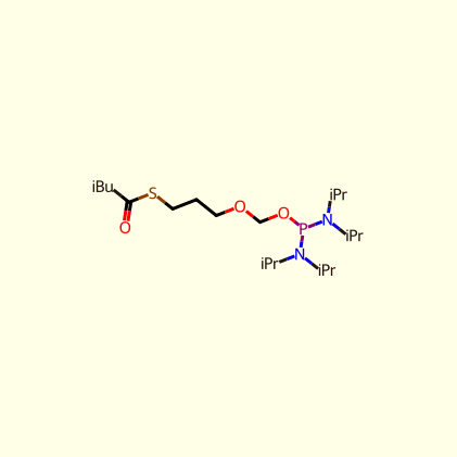 CCC(C)C(=O)SCCCOCOP(N(C(C)C)C(C)C)N(C(C)C)C(C)C